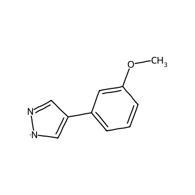 COc1cccc(C2=C[N]N=C2)c1